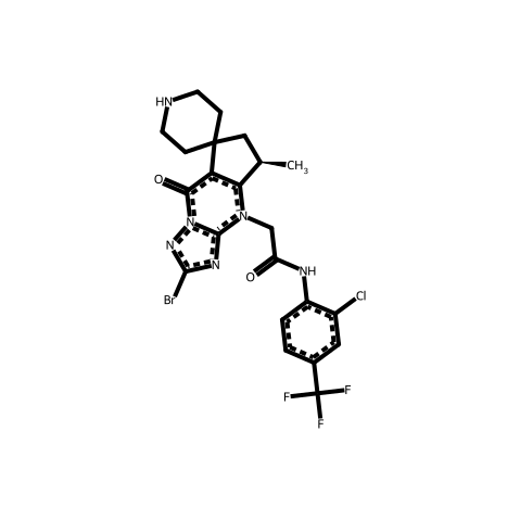 C[C@@H]1CC2(CCNCC2)c2c1n(CC(=O)Nc1ccc(C(F)(F)F)cc1Cl)c1nc(Br)nn1c2=O